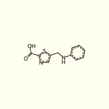 O=C(O)c1ncc(CNc2ccccc2)s1